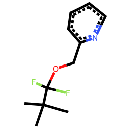 CC(C)(C)C(F)(F)OCc1ccccn1